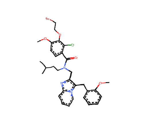 COc1ccccc1Cc1c(CN(CCC(C)C)C(=O)c2ccc(OC)c(OCCBr)c2Cl)nc2ccccn12